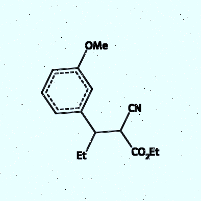 CCOC(=O)C(C#N)C(CC)c1cccc(OC)c1